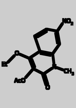 CCOc1c(OC(C)=O)c(=O)n(C)c2cc([N+](=O)[O-])ccc12